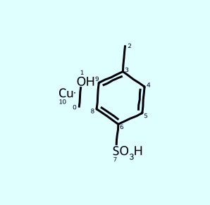 CO.Cc1ccc(S(=O)(=O)O)cc1.[Cu]